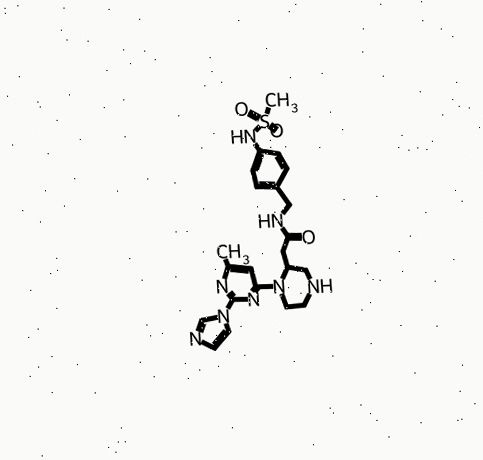 Cc1cc(N2CCNCC2CC(=O)NCc2ccc(NS(C)(=O)=O)cc2)nc(-n2ccnc2)n1